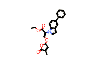 CCOC(=O)/C(=C/OC1C=C(C)C(=O)O1)n1ccc2cc(-c3ccccc3)ccc21